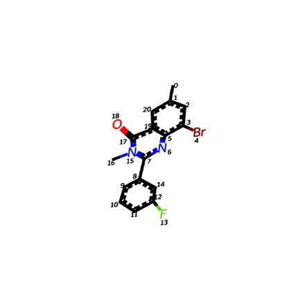 Cc1cc(Br)c2nc(-c3cccc(F)c3)n(C)c(=O)c2c1